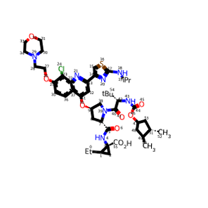 CCC1C[C@]1(NC(=O)[C@@H]1C[C@@H](Oc2cc(-c3csc(NC(C)C)n3)nc3c(Cl)c(OCCN4CCOCC4)ccc23)CN1C(=O)[C@@H](NC(=O)OC1CC(C)[C@@H](C)C1)C(C)(C)C)C(=O)O